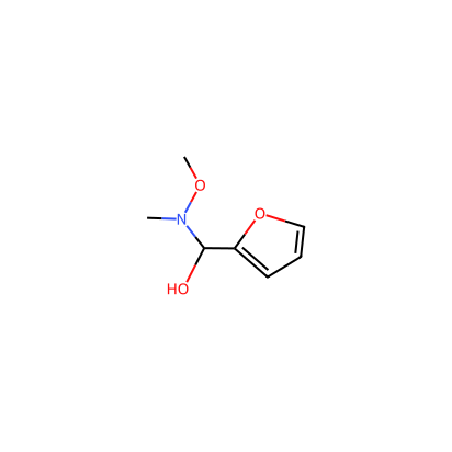 CON(C)C(O)c1ccco1